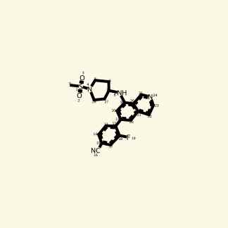 CS(=O)(=O)N1CCC(Nc2cc(-c3ccc(C#N)cc3F)cc3ccncc23)CC1